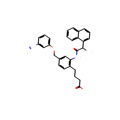 [C-]#[N+]c1cccc(OCc2ccc(CCCC(=O)O)c(NC(=O)C(C)c3cccc4ccccc34)c2)c1